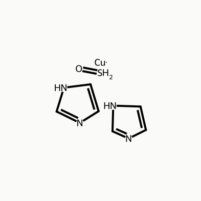 O=[SH2].[Cu].c1c[nH]cn1.c1c[nH]cn1